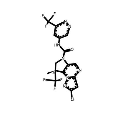 C[C@@]1(C(F)(F)F)CN(C(=O)Nc2cnnc(C(F)(F)F)c2)c2cnc3cc(Cl)nn3c21